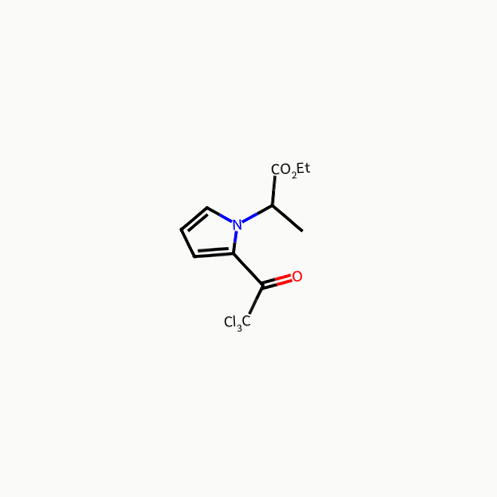 CCOC(=O)C(C)n1cccc1C(=O)C(Cl)(Cl)Cl